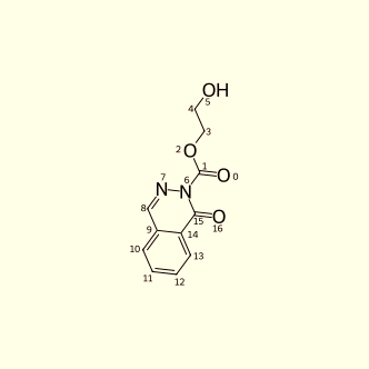 O=C(OCCO)n1ncc2ccccc2c1=O